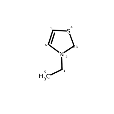 CCN1[C]SC=C1